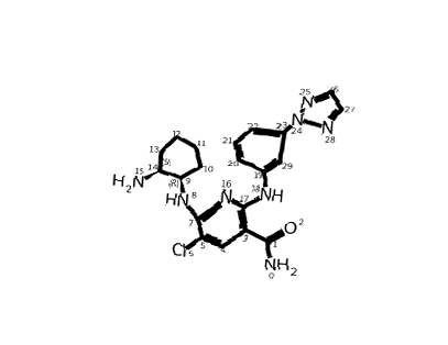 NC(=O)c1cc(Cl)c(N[C@@H]2CCCC[C@@H]2N)nc1Nc1cccc(-n2nccn2)c1